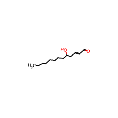 CCCCCCCCC(O)C/C=C/C=O